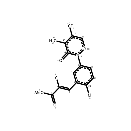 COC(=O)C(Cl)=Cc1cc(-n2ncc(C(F)(F)F)c(C)c2=O)ccc1Cl